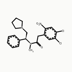 CN(C(=O)Cc1cc(Cl)c(Cl)cc1[N+](=O)[O-])[C@H](CN1CCCC1)c1ccccc1